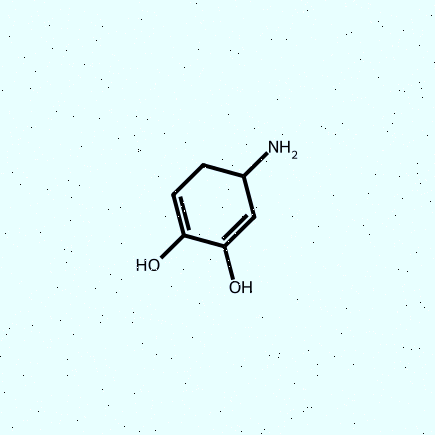 NC1C=C(O)C(O)=CC1